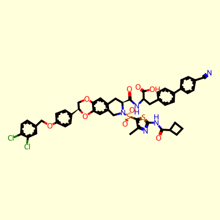 Cc1nc(NC(=O)C2CCC2)sc1S(=O)(=O)N1Cc2cc3c(cc2C[C@H]1C(=O)NC(Cc1ccc(-c2ccc(C#N)cc2)cc1)C(=O)O)OC[C@H](c1ccc(OCc2ccc(Cl)c(Cl)c2)cc1)O3